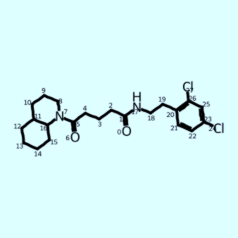 O=C(CCCC(=O)N1CCCC2CCCCC21)NCCc1ccc(Cl)cc1Cl